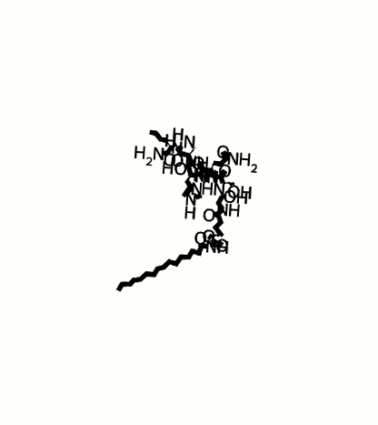 CCCCCCCCCCCCCCCC(=O)NS(=O)(=O)CCCC(=O)NCC(O)N[C@@H](CO)C(=O)N[C@@H](CCC(N)=O)C(=O)N[C@@H](Cc1c[nH]cn1)C(O)N[C@@H](CN)C(=O)N[C@@H](CCCC)C(N)=O